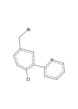 Clc1ccc(CBr)cc1-c1ccccn1